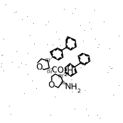 N[C@@H]1COCC[C@@H]1c1ccc(-c2ccccc2)cc1.O=C(O)[C@@H]1COCC[C@@H]1c1ccc(-c2ccccc2)cc1